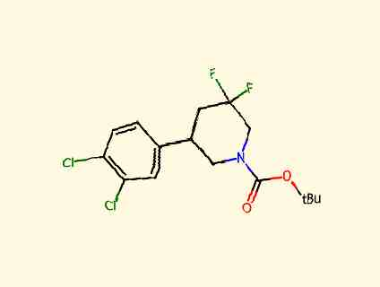 CC(C)(C)OC(=O)N1CC(c2ccc(Cl)c(Cl)c2)CC(F)(F)C1